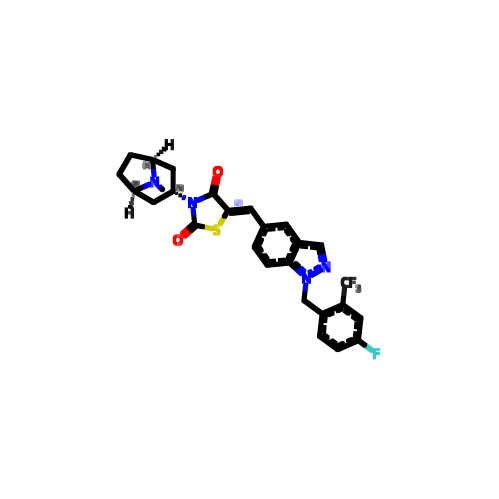 CN1[C@@H]2CC[C@H]1C[C@H](N1C(=O)S/C(=C\c3ccc4c(cnn4Cc4ccc(F)cc4C(F)(F)F)c3)C1=O)C2